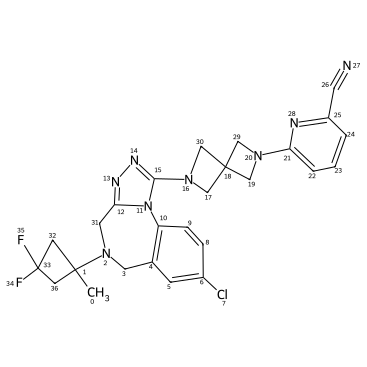 CC1(N2Cc3cc(Cl)ccc3-n3c(nnc3N3CC4(CN(c5cccc(C#N)n5)C4)C3)C2)CC(F)(F)C1